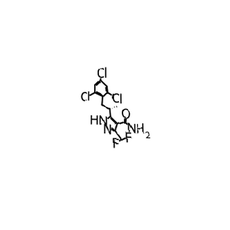 C[C@@H](Cc1c(Cl)cc(Cl)cc1Cl)c1[nH]nc(C(F)F)c1C(N)=O